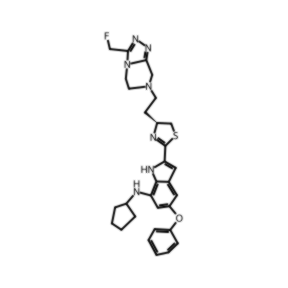 FCc1nnc2n1CCN(CC[C@H]1CSC(c3cc4cc(Oc5ccccc5)cc(NC5CCCC5)c4[nH]3)=N1)C2